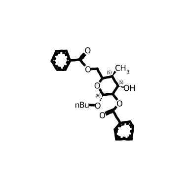 CCCCO[C@@H]1OC(COC(=O)c2ccccc2)[C@@H](C)[C@H](O)C1OC(=O)c1ccccc1